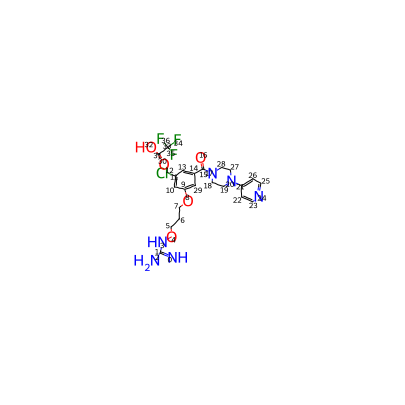 N=C(N)NOCCCOc1cc(Cl)cc(C(=O)N2CCN(c3ccncc3)CC2)c1.O=C(O)C(F)(F)F